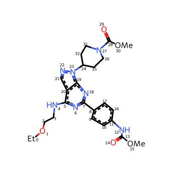 CCOCCNc1nc(-c2ccc(NC(=O)OC)cc2)nc2c1cnn2C1CCN(C(=O)OC)CC1